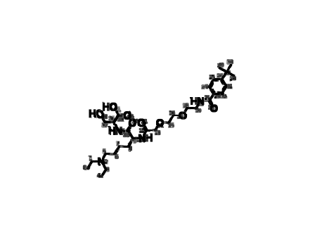 CCN(CC)CCCC[C@H](NC(=O)COCCOCCNC(=O)c1ccc(C(C)(C)C)cc1)C(=O)N[C@@H](CO)C(=O)O